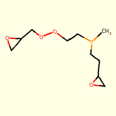 CP(CCOOCC1CO1)CCC1CO1